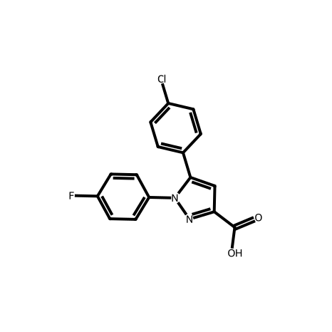 O=C(O)c1cc(-c2ccc(Cl)cc2)n(-c2ccc(F)cc2)n1